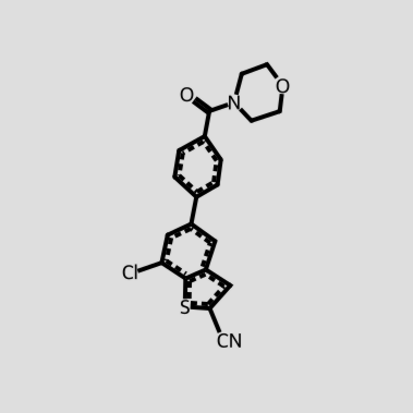 N#Cc1cc2cc(-c3ccc(C(=O)N4CCOCC4)cc3)cc(Cl)c2s1